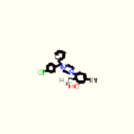 CC(C)C1=CC=C(N2CCN(C(c3ccccc3)c3ccc(Cl)cc3)CC2)C(C)C(O)=C1